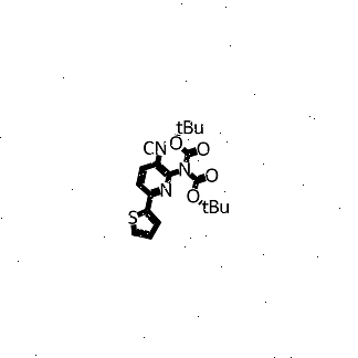 CC(C)(C)OC(=O)N(C(=O)OC(C)(C)C)c1nc(-c2cccs2)ccc1C#N